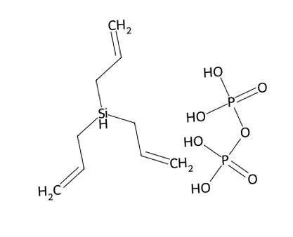 C=CC[SiH](CC=C)CC=C.O=P(O)(O)OP(=O)(O)O